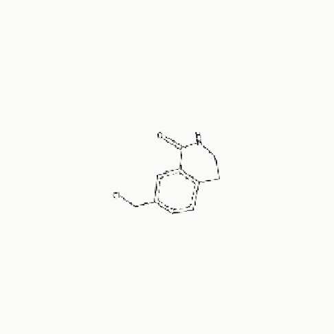 O=C1NCCc2ccc(CCl)cc21